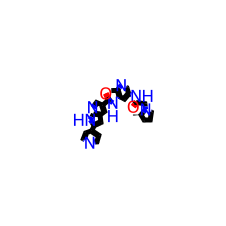 Cc1ncc(NC(=O)CN2CCC[C@@H]2C)cc1NC(=O)c1cnc2[nH]c(-c3ccncc3)cc2c1